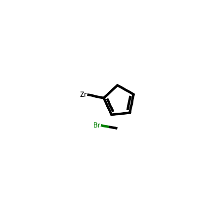 CBr.[Zr][C]1=CC=CC1